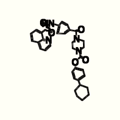 O=C(Oc1ccc(C2CCCCC2)cc1)N1CCN(C(=O)c2ccc(NS(=O)(=O)c3cccc4cccnc34)cc2)CC1